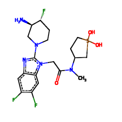 CN(C(=O)Cn1c(N2CC[C@@H](F)[C@H](N)C2)nc2cc(F)c(F)cc21)C1CCS(O)(O)C1